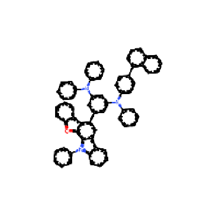 c1ccc(N(c2ccccc2)c2cc(-c3cc4c5ccccc5n(-c5ccccc5)c4c4oc5ccccc5c34)cc(N(c3ccccc3)c3ccc(-c4cccc5ccccc45)cc3)c2)cc1